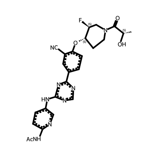 CC(=O)Nc1ccc(Nc2ncnc(-c3ccc(O[C@H]4CCN(C(=O)[C@H](C)O)C[C@@H]4F)c(C#N)c3)n2)cn1